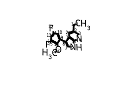 CCc1cnc2[nH]cc(-c3cc(F)cc(F)c3OC)c2c1